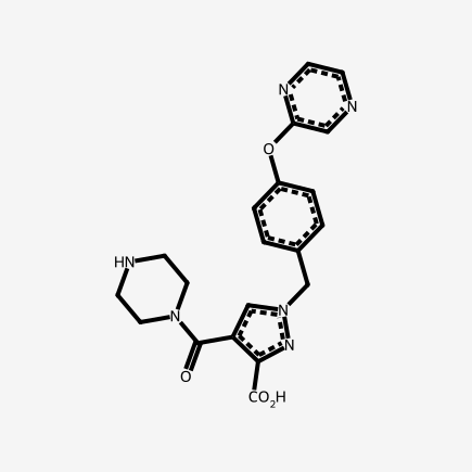 O=C(O)c1nn(Cc2ccc(Oc3cnccn3)cc2)cc1C(=O)N1CCNCC1